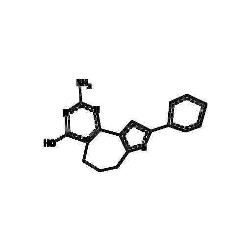 Nc1nc(O)c2c(n1)-c1cc(-c3ccccc3)sc1CCC2